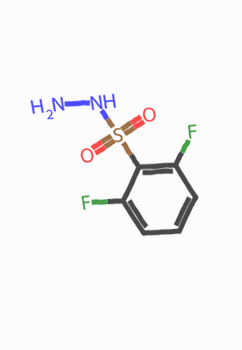 NNS(=O)(=O)c1c(F)cccc1F